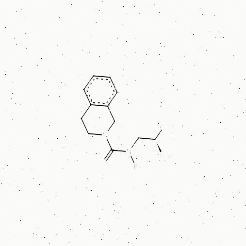 CCCC[C@@H](CN(CC)C(=O)N1Cc2ccccc2C[C@H]1C(=O)O)C(=O)OCC